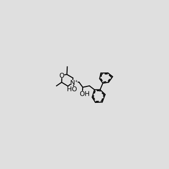 CC1C[N+](O)(CC(O)Cc2ccccc2-c2ccccc2)CC(C)O1